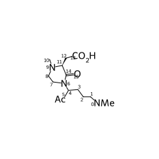 CNCCCC(C(C)=O)N1CCN(C)[C@@H](CC(=O)O)C1=O